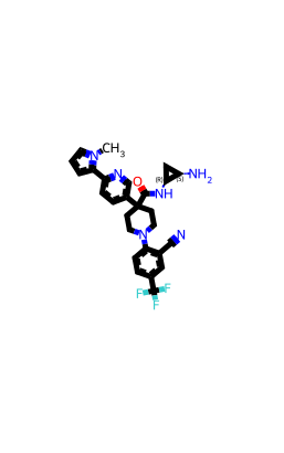 Cn1cccc1-c1ccc(C2(C(=O)N[C@@H]3C[C@@H]3N)CCN(c3ccc(C(F)(F)F)cc3C#N)CC2)cn1